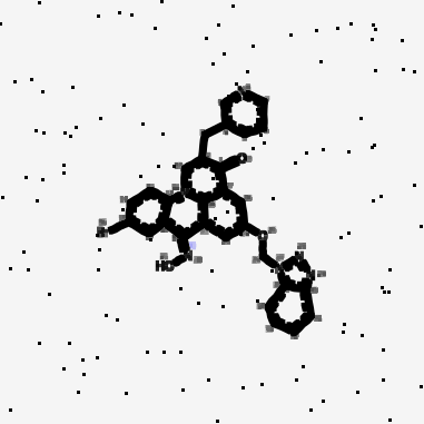 O=c1c(Cc2cccnc2)cn2c3ccc(Br)cc3/c(=N\O)c3cc(OCn4nnc5ccccc54)cc1c32